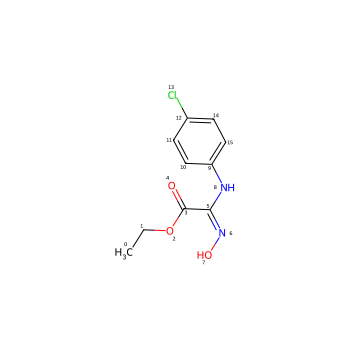 CCOC(=O)/C(=N\O)Nc1ccc(Cl)cc1